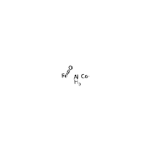 [AlH3].[Co].[O]=[Fe]